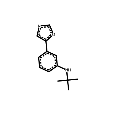 CC(C)(C)Nc1cccc(-c2cnco2)c1